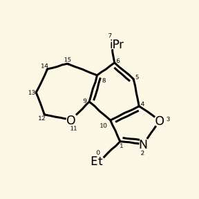 CCc1noc2cc(C(C)C)c3c(c12)OCCCC3